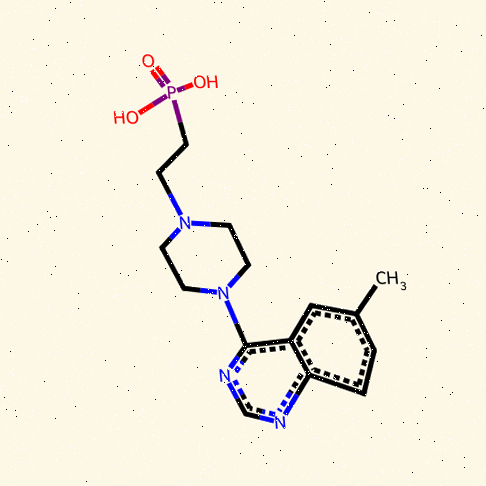 Cc1ccc2ncnc(N3CCN(CCP(=O)(O)O)CC3)c2c1